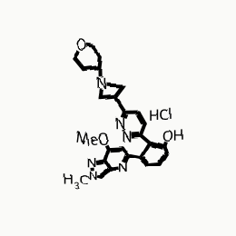 COc1cc(-c2cccc(O)c2-c2ccc(C3CN(C4CCOCC4)C3)nn2)nc2cn(C)nc12.Cl